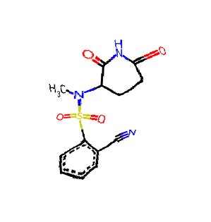 CN(C1CCC(=O)NC1=O)S(=O)(=O)c1ccccc1C#N